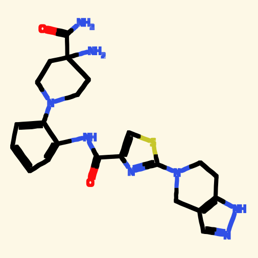 NC(=O)C1(N)CCN(c2ccccc2NC(=O)c2csc(N3CCc4[nH]ncc4C3)n2)CC1